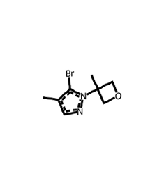 Cc1cnn(C2(C)COC2)c1Br